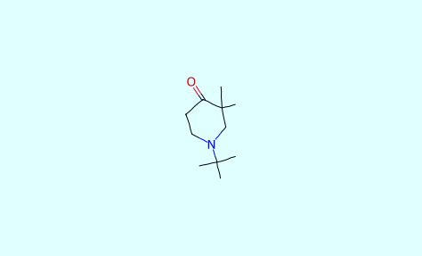 CC1(C)CN(C(C)(C)C)CCC1=O